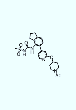 CC(=O)N1CCC(Oc2cc(-c3ccc4c(c3NC(=O)NS(C)(=O)=O)CCC4)ccn2)CC1